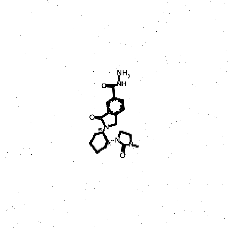 CN1CCN([C@@H]2CCCC[C@H]2N2Cc3ccc(C(=O)NN)cc3C2=O)C1=O